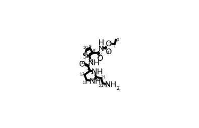 CCOC(=O)NC(=O)c1ccsc1NC(=O)C1CCNC(CCN)N1